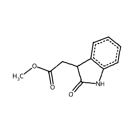 COC(=O)CC1C(=O)Nc2ccccc21